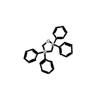 c1ccc([Si]2(c3ccccc3)CO[Si](c3ccccc3)(c3ccccc3)C2)cc1